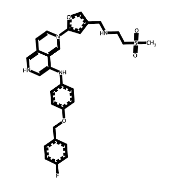 CS(=O)(=O)CCNCc1coc(N2C=CC3=CNC=C(Nc4ccc(OCc5ccc(F)cc5)cc4)C3=C2)c1